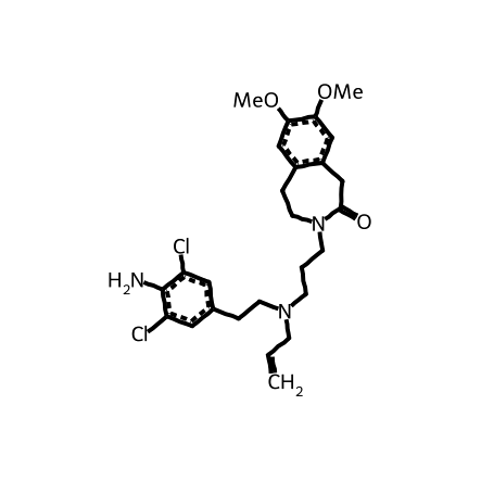 C=CCN(CCCN1CCc2cc(OC)c(OC)cc2CC1=O)CCc1cc(Cl)c(N)c(Cl)c1